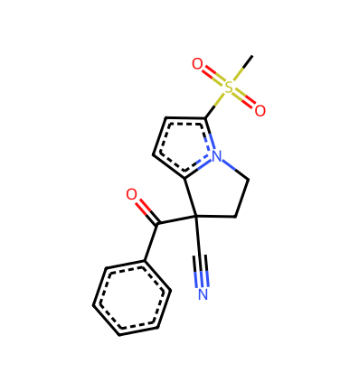 CS(=O)(=O)c1ccc2n1CCC2(C#N)C(=O)c1ccccc1